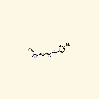 C/C(C=O)=C/C=C/C=C(C)/C=C/c1ccc(N(C)C)cc1